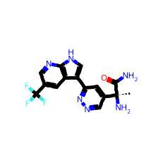 C[C@@](N)(C(N)=O)c1cnnc(-c2c[nH]c3ncc(C(F)(F)F)cc23)c1